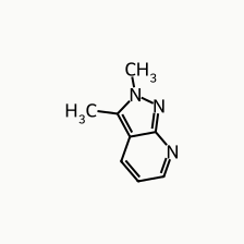 Cc1c2cccnc2nn1C